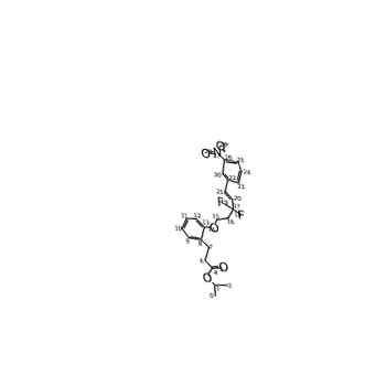 CC(C)OC(=O)CCc1ccccc1OCCC(F)(F)/C=C/c1cccc([N+](=O)[O-])c1